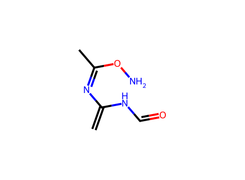 C=C(/N=C(/C)ON)NC=O